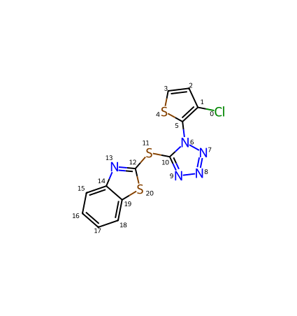 Clc1ccsc1-n1nnnc1Sc1nc2ccccc2s1